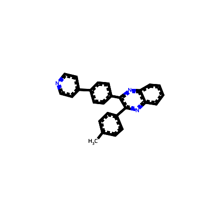 Cc1ccc(-c2nc3ccccc3nc2-c2ccc(-c3ccncc3)cc2)cc1